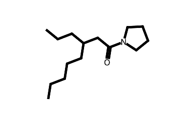 CCCCCC(CCC)CC(=O)N1CCCC1